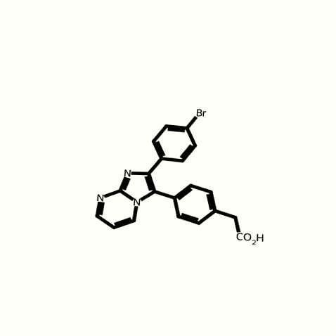 O=C(O)Cc1ccc(-c2c(-c3ccc(Br)cc3)nc3ncccn23)cc1